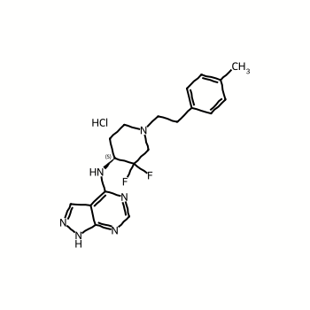 Cc1ccc(CCN2CC[C@H](Nc3ncnc4[nH]ncc34)C(F)(F)C2)cc1.Cl